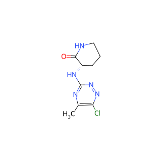 Cc1nc(N[C@H]2CCCNC2=O)nnc1Cl